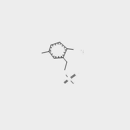 Cc1ccc(C)c(COS(=O)([O-])=S)c1.[Na+]